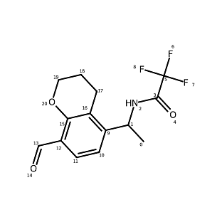 CC(NC(=O)C(F)(F)F)c1ccc(C=O)c2c1CCCO2